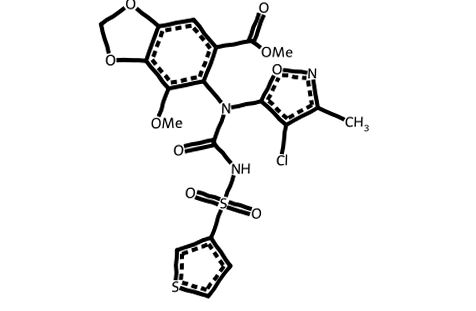 COC(=O)c1cc2c(c(OC)c1N(C(=O)NS(=O)(=O)c1ccsc1)c1onc(C)c1Cl)OCO2